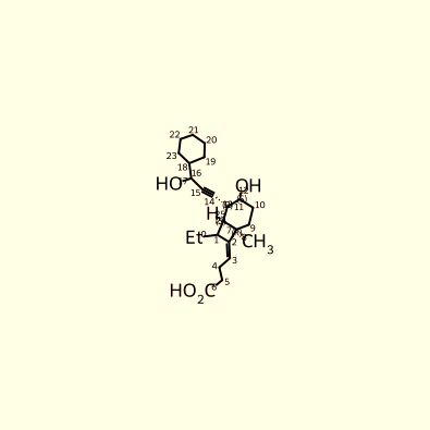 CCC1C(=CCCC(=O)O)[C@]2(C)CC[C@H](O)[C@@H](C#CC(O)C3CCCCC3)[C@H]12